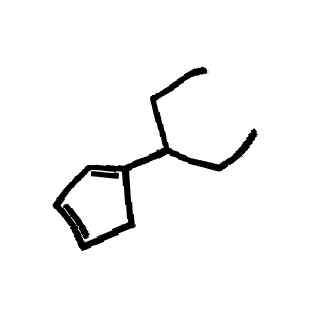 CCC(CC)C1=CC=CC1